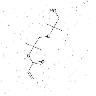 C=CC(=O)OC(C)(C)COC(C)(C)CO